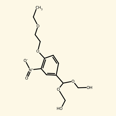 CCOCCOc1ccc(C(OCO)OCO)cc1[N+](=O)[O-]